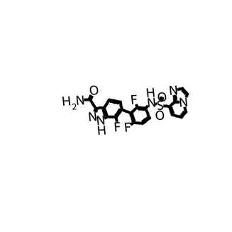 NC(=O)c1n[nH]c2c(F)c(-c3c(F)ccc(NS(=O)(=O)c4cccn5ccnc45)c3F)ccc12